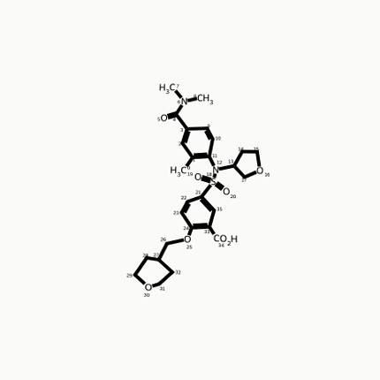 Cc1cc(C(=O)N(C)C)ccc1N(C1CCOC1)S(=O)(=O)c1ccc(OCC2CCOCC2)c(C(=O)O)c1